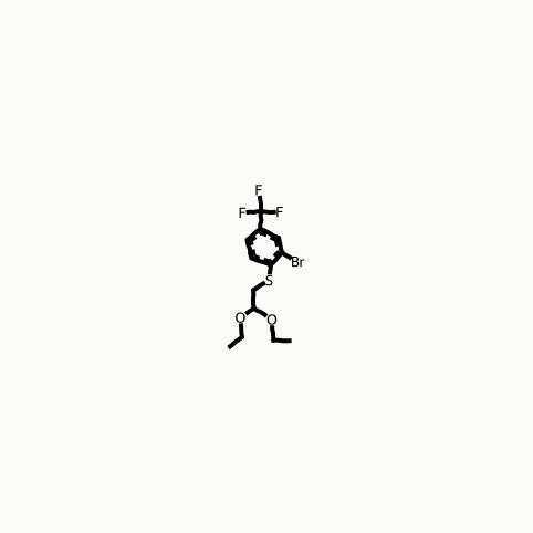 CCOC(CSc1ccc(C(F)(F)F)cc1Br)OCC